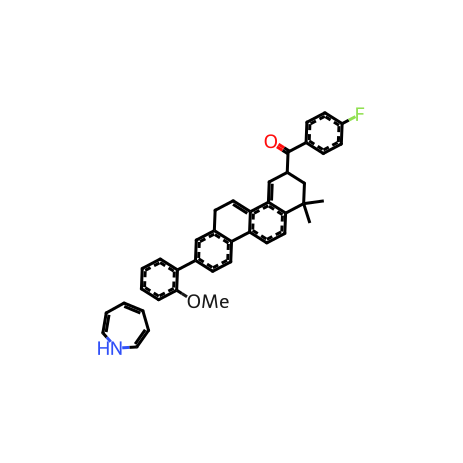 C1=CC=CNC=C1.COc1ccccc1-c1ccc2c(c1)CC=c1c-2ccc2c1=CC(C(=O)c1ccc(F)cc1)CC2(C)C